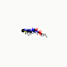 CCOC(=O)CCNC(=O)c1ccc(N[C@H](c2ccc(-c3nc4ccccc4s3)cc2)C(C)C)nc1